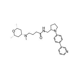 C[C@@H]1C[C@H](N(C)CCCC(=O)NCC2CCCN2c2ccc(-c3cccnc3)cc2)C[C@H](C)O1